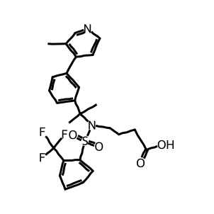 Cc1cnccc1-c1cccc(C(C)(C)N(CCCC(=O)O)S(=O)(=O)c2ccccc2C(F)(F)F)c1